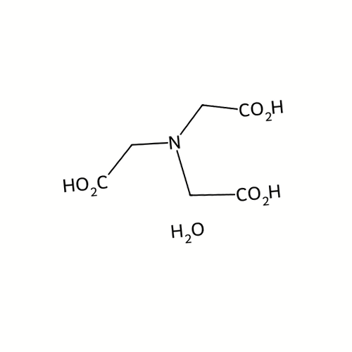 O.O=C(O)CN(CC(=O)O)CC(=O)O